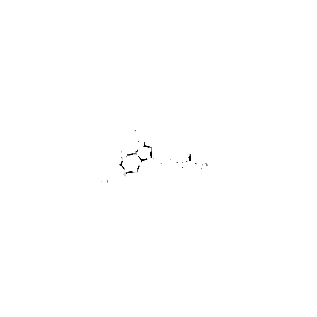 CCNC(=O)NCCc1cn(C)c2ncc(OC)cc12